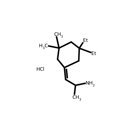 CCC1(CC)C/C(=C\C(C)N)CC(C)(C)C1.Cl